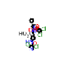 O=C(Nc1ccc(C[C@H](NC(=O)[C@H]2C[C@H](C3CCCCC3)CN2S(=O)(=O)c2cc(Cl)cc(Cl)c2)C(=O)O)cc1)c1c(Cl)cncc1Cl